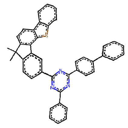 CC1(C)c2ccc(-c3nc(-c4ccccc4)nc(-c4ccc(-c5ccccc5)cc4)n3)cc2-c2c1ccc1c2sc2ccccc21